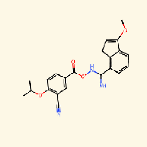 COC1=CCc2c(C(=N)NOC(=O)c3ccc(OC(C)C)c(C#N)c3)cccc21